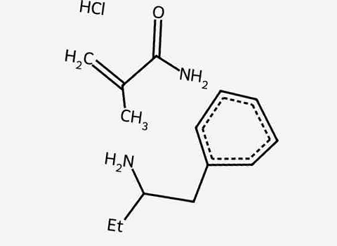 C=C(C)C(N)=O.CCC(N)Cc1ccccc1.Cl